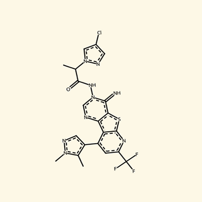 Cc1c(-c2cc(C(F)(F)F)nc3sc4c(=N)n(NC(=O)C(C)n5cc(Cl)cn5)cnc4c23)cnn1C